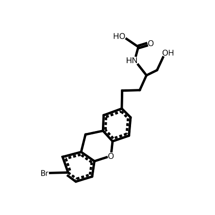 O=C(O)NC(CO)CCc1ccc2c(c1)Cc1cc(Br)ccc1O2